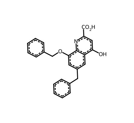 O=C(O)c1cc(O)c2cc(Cc3ccccc3)cc(OCc3ccccc3)c2n1